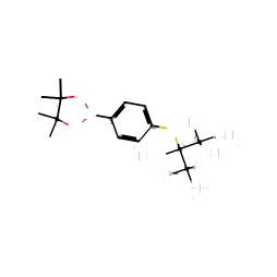 BC(B)(B)C(B)(Sc1ccc(B2OC(C)(C)C(C)(C)O2)cc1)C(B)(B)B